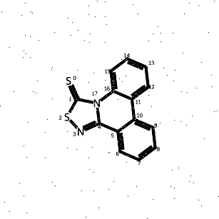 S=c1snc2c3ccccc3c3ccccc3n12